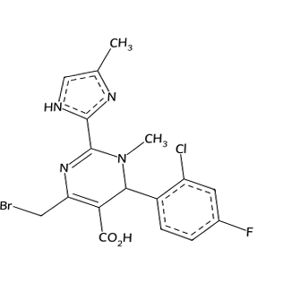 Cc1c[nH]c(C2=NC(CBr)=C(C(=O)O)C(c3ccc(F)cc3Cl)N2C)n1